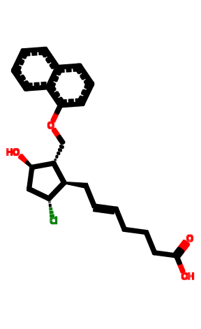 O=C(O)CCCC=CC[C@@H]1[C@@H](COc2cccc3ccccc23)[C@H](O)C[C@H]1Cl